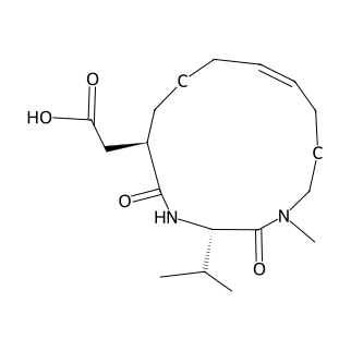 CC(C)[C@@H]1NC(=O)[C@@H](CC(=O)O)CCCC=CCCCN(C)C1=O